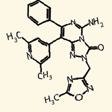 Cc1cc(-c2c(-c3ccccc3)nc(N)n3c(=O)n(Cc4noc(C)n4)nc23)cc(C)n1